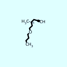 C#CC[C@@H](C)CCOCCCC